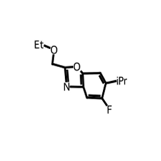 CCOCc1nc2cc(F)c(C(C)C)cc2o1